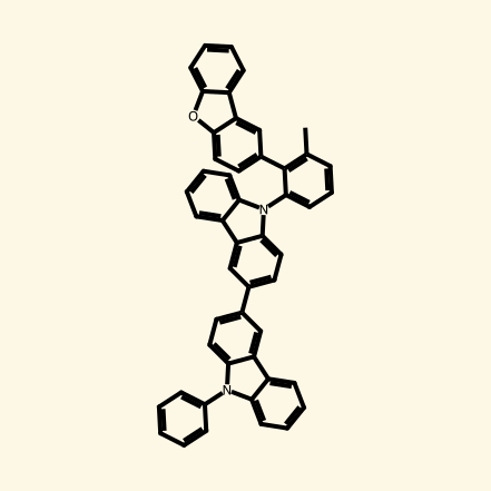 Cc1cccc(-n2c3ccccc3c3cc(-c4ccc5c(c4)c4ccccc4n5-c4ccccc4)ccc32)c1-c1ccc2oc3ccccc3c2c1